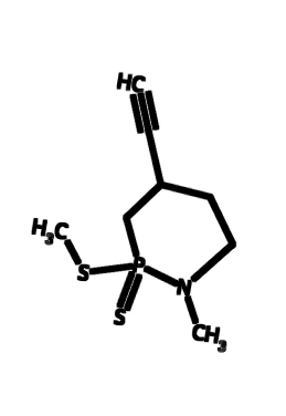 C#CC1CCN(C)P(=S)(SC)C1